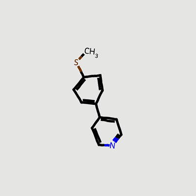 CSc1ccc(-c2ccncc2)cc1